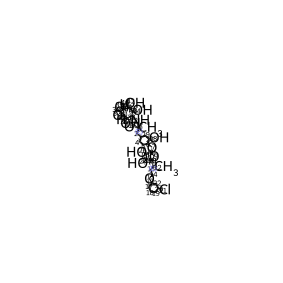 C/C(=C\c1ccc(O[C@@H]2O[C@H](/C(C)=C/COc3cccc(Cl)c3)[C@@H](O)[C@@H]2O)c(O)c1)C(=O)NC1C(O)[C@@H]2OCO[C@@H]2[C@H](O)[C@H]1O